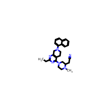 CCc1nc2c(c(N3CCN(C)C(CC#N)C3)n1)CCN(c1cccc3ccccc13)C2